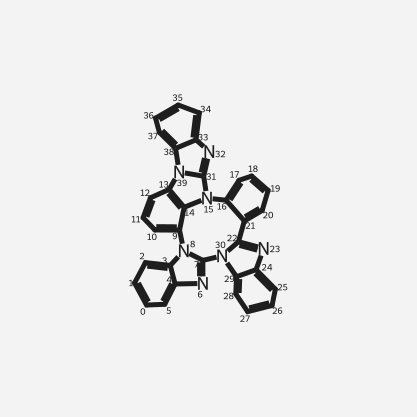 c1ccc2c(c1)nc1n2c2cccc3c2n(c2ccccc2c2nc4ccccc4n21)c1nc2ccccc2n31